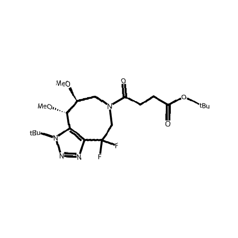 CO[C@H]1CN(C(=O)CCC(=O)OC(C)(C)C)CC(F)(F)c2nnn(C(C)(C)C)c2[C@@H]1OC